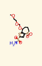 COCCOCOC1CCCS(=O)(=O)c2cc(S(N)(=O)=O)sc21